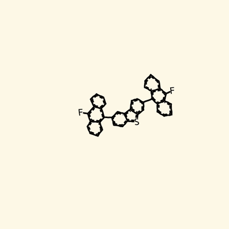 Fc1c2ccccc2c(-c2ccc3c(c2)sc2ccc(-c4c5ccccc5c(F)c5ccccc45)cc23)c2ccccc12